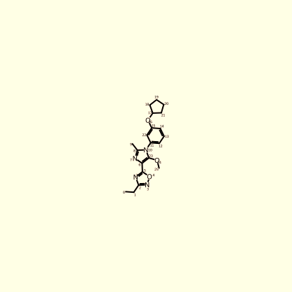 CCc1noc(-c2nc(C)n(-c3cccc(OC4CCCC4)c3)c2OC)n1